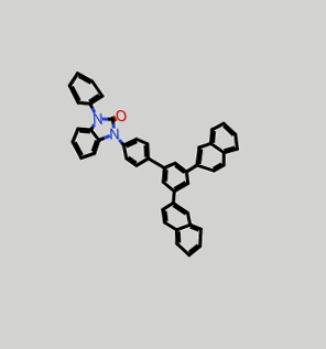 O=c1n(-c2ccccc2)c2ccccc2n1-c1ccc(-c2cc(-c3ccc4ccccc4c3)cc(-c3ccc4ccccc4c3)c2)cc1